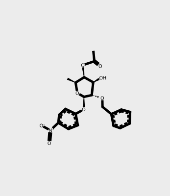 CC(=O)O[C@H]1[C@@H](O)[C@H](OCc2ccccc2)[C@@H](Oc2ccc([N+](=O)[O-])cc2)O[C@H]1C